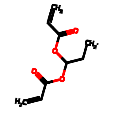 [CH2]CC(OC(=O)C=C)OC(=O)C=C